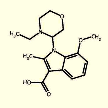 CCN1CCOCC1n1c(C)c(C(=O)O)c2cccc(OC)c21